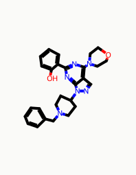 Oc1ccccc1-c1nc(N2CCOCC2)c2cnn(C3CCN(Cc4ccccc4)CC3)c2n1